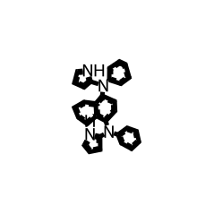 c1ccc(N(c2ccc[nH]2)c2ccc(N(c3ccccc3)c3ccc[nH]3)c3ccccc23)cc1